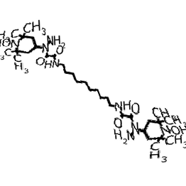 CC1(C)CC(N(N)C(=O)C(=O)NCCCCCCCCCCNC(=O)C(=O)N(N)C2CC(C)(C)N(O)C(C)(C)C2)CC(C)(C)N1O